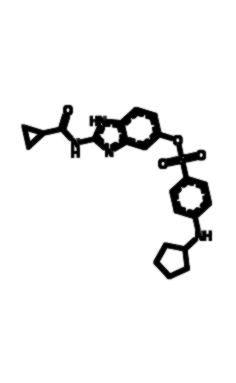 O=C(Nc1nc2cc(OS(=O)(=O)c3ccc(NC4CCCC4)cc3)ccc2[nH]1)C1CC1